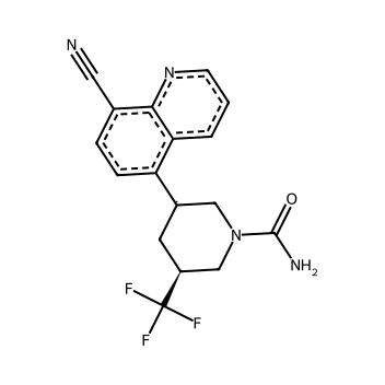 N#Cc1ccc([C]2C[C@H](C(F)(F)F)CN(C(N)=O)C2)c2cccnc12